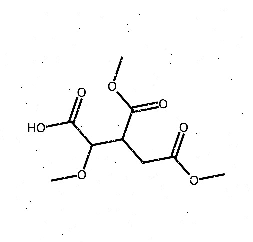 COC(=O)CC(C(=O)OC)C(OC)C(=O)O